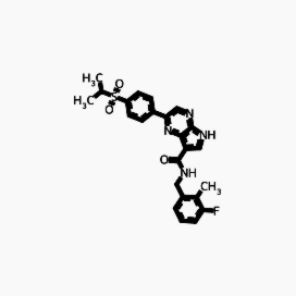 Cc1c(F)cccc1CNC(=O)c1c[nH]c2ncc(-c3ccc(S(=O)(=O)C(C)C)cc3)nc12